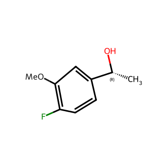 COc1cc([C@@H](C)O)ccc1F